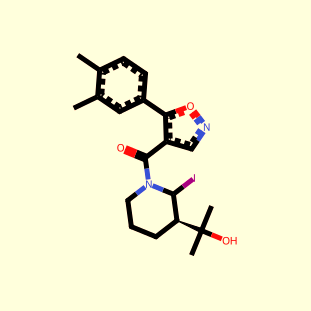 Cc1ccc(-c2oncc2C(=O)N2CCC[C@H](C(C)(C)O)C2I)cc1C